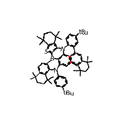 Cc1cc2c3c(c1)N(c1ccc(C(C)(C)C)cc1-c1ccc4c(c1)C(C)(C)CCC4(C)C)c1c(sc4c1C(C)(C)CCC4(C)C)B3c1ccc3c(c1N2c1ccc(C(C)(C)C)cc1)C(C)(C)CCC3(C)C